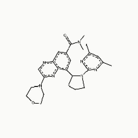 Cc1cc(C)nc(N2CCCC2c2cc(C(=O)N(C)C)cc3ncc(N4CCOCC4)nc23)n1